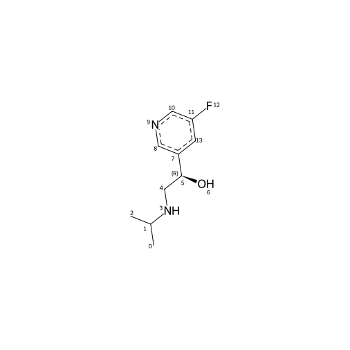 CC(C)NC[C@H](O)c1cncc(F)c1